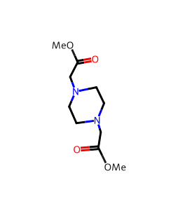 COC(=O)CN1CCN(CC(=O)OC)CC1